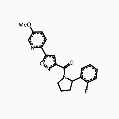 COc1ccc(-c2cc(C(=O)N3CCCC3c3ccccc3F)no2)nc1